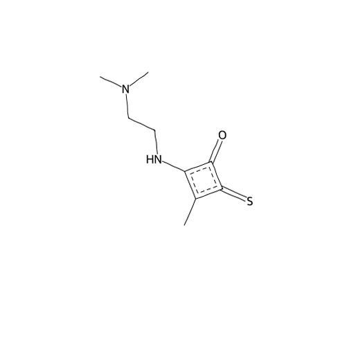 Cc1c(NCCN(C)C)c(=O)c1=S